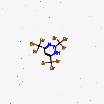 BrC(Br)(Br)C1=CC(C(Br)(Br)Br)=NN(C(Br)(Br)Br)N1